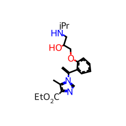 C=C(c1ccccc1OCC(O)CNC(C)C)n1cnc(C(=O)OCC)c1C